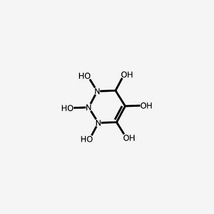 OC1=C(O)N(O)N(O)N(O)C1O